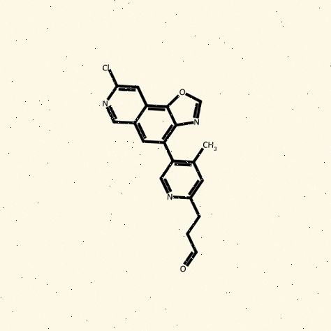 Cc1cc(CCC=O)ncc1-c1cc2cnc(Cl)cc2c2ocnc12